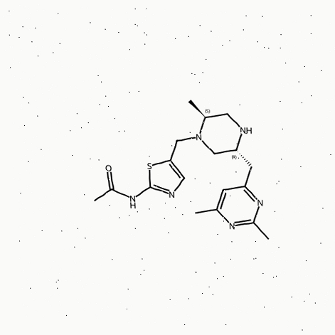 CC(=O)Nc1ncc(CN2C[C@@H](Cc3cc(C)nc(C)n3)NC[C@@H]2C)s1